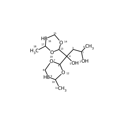 CC(O)CC(O)(C1OCBC(C)O1)C1OCBC(C)O1